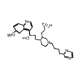 COc1ccc2nccc([C@@H](O)CCC3CCN(CCCCc4cnccn4)CC3CCC(=O)O)c2c1